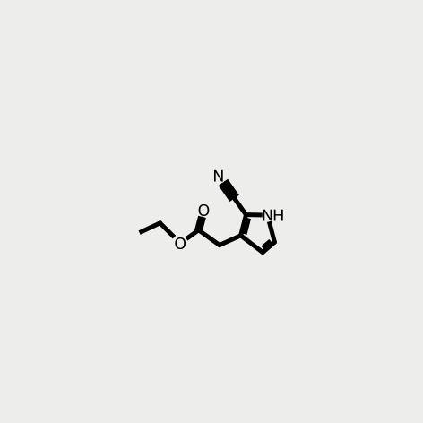 CCOC(=O)Cc1cc[nH]c1C#N